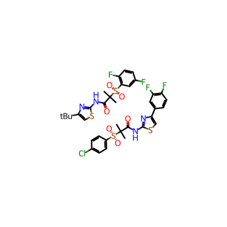 CC(C)(C(=O)Nc1nc(-c2ccc(F)c(F)c2)cs1)S(=O)(=O)c1ccc(Cl)cc1.CC(C)(C)c1csc(NC(=O)C(C)(C)S(=O)(=O)c2cc(F)ccc2F)n1